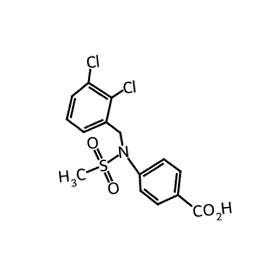 CS(=O)(=O)N(Cc1cccc(Cl)c1Cl)c1ccc(C(=O)O)cc1